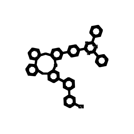 N#Cc1cccc(-c2cccc(-c3ccc4c(c3)Oc3cc(-c5ccc(-c6nc(-c7ccccc7)nc(-c7ccccc7)n6)cc5)ccc3Cc3ccccc3-c3ccccc3C4)c2)c1